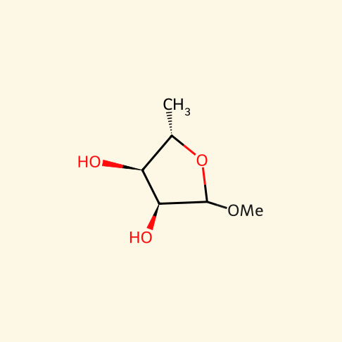 COC1O[C@@H](C)[C@H](O)[C@@H]1O